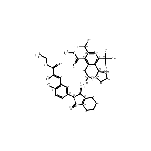 CCOC(=O)/C(Cl)=C/c1cc(N2C(=O)C3=C(CCCC3)C2=O)ccc1Cl.COC(=O)c1c(C(F)F)nc(C(F)(F)F)c(C2=NCCS2)c1CC(C)C